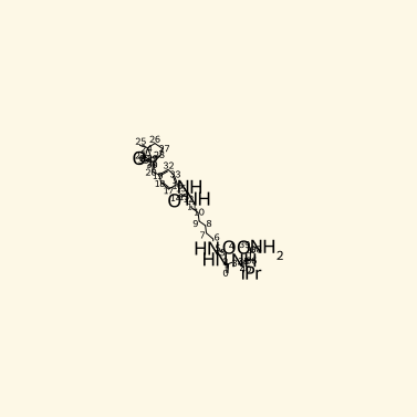 C=C(NC(=O)NCCCCCCNC(=O)Nc1ccc(/C=C2/C(=O)C3(C)CCC2C3(C)C)cc1)N/C(=C\C(N)=O)C(C)C